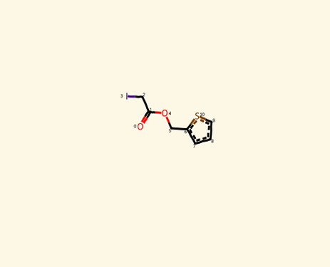 O=C(CI)OCc1cccs1